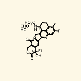 CC[C@@]1(O)C(=O)OCc2c1cc1n(c2=O)Cc2c-1nc1cc(F)c(C)c3c1c2[C@@H](NC(=O)O)CC3.O=CO